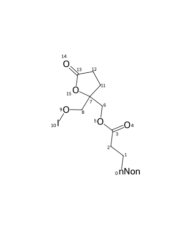 CCCCCCCCCCCC(=O)OCC1(COI)CCC(=O)O1